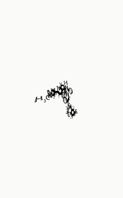 Cn1cc(-c2ccc3c(n2)CC[C@]32NC(=O)N(CC(=O)N3CCOc4ccc(F)cc4C3)C2=O)cn1